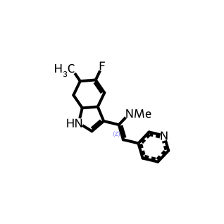 CN/C(=C\c1cccnc1)C1=CNC2CC(C)C(F)=CC12